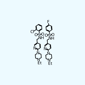 CCN1CCN(c2ccc(CNS(=O)(=O)c3ccc(F)cc3)cn2)CC1.CCN1CCN(c2ccc(CNS(=O)(=O)c3ccccc3Cl)cn2)CC1